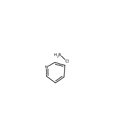 BCl.c1ccncc1